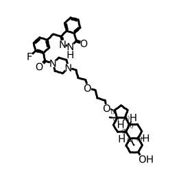 C[C@]12CCC(O)C[C@@H]1CC[C@@H]1[C@@H]2CC[C@]2(C)[C@@H](OCCCOCCCN3CCN(C(=O)c4cc(Cc5n[nH]c(=O)c6ccccc56)ccc4F)CC3)CC[C@@H]12